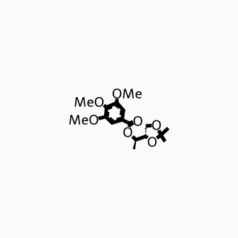 COc1cc(C(=O)O[C@H](C)[C@@H]2COC(C)(C)O2)cc(OC)c1OC